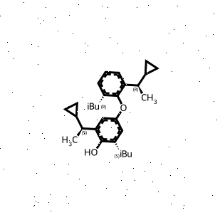 CC[C@@H](C)c1cccc([C@H](C)C2CC2)c1Oc1cc([C@@H](C)C2CC2)c(O)c([C@@H](C)CC)c1